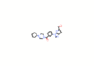 O=Cc1ccc2ncn(-c3cccc(C(=O)N4CCN(C5CCCCC5)CC4)c3)c2n1